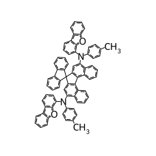 Cc1ccc(N(c2cc3c(c4ccccc24)-c2c(cc(N(c4ccc(C)cc4)c4cccc5c4oc4ccccc45)c4ccccc24)C32c3ccccc3-c3ccccc32)c2cccc3c2oc2ccccc23)cc1